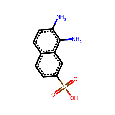 Nc1ccc2ccc(S(=O)(=O)O)cc2c1N